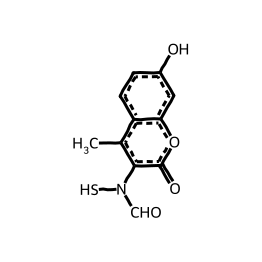 Cc1c(N(S)C=O)c(=O)oc2cc(O)ccc12